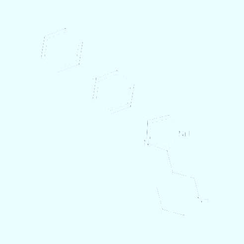 c1ccc(-c2ccc(-c3c[nH]c(C4CCCNC4)n3)cc2)cc1